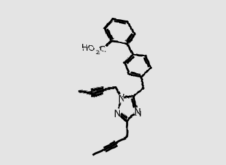 CC#CCc1nc(Cc2ccc(-c3ccccc3C(=O)O)cc2)n(CC#CC)n1